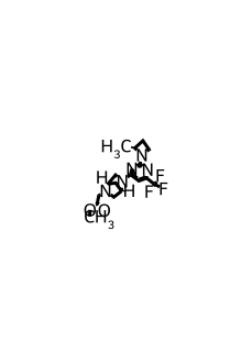 COC(=O)CN1C[C@H]2C[C@@H]1CN2c1cc(C(F)(F)F)nc(N2CC[C@@H]2C)n1